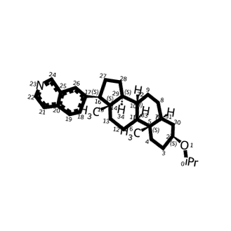 CC(C)O[C@H]1CC[C@@]2(C)[C@@H](CC[C@@H]3[C@@H]2CC[C@]2(C)[C@@H](c4ccc5ccncc5c4)CC[C@@H]32)C1